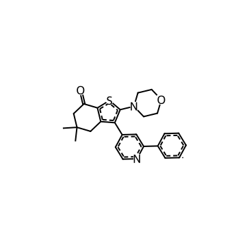 CC1(C)CC(=O)c2sc(N3CCOCC3)c(-c3ccnc(-c4c[c]ccc4)c3)c2C1